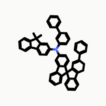 CC1(C)c2ccccc2-c2ccc(N(c3cccc(-c4ccccc4)c3)c3ccc4c(c3)-c3ccccc3C43C4=C(CCC(c5ccccc5)=C4)c4ccccc43)cc21